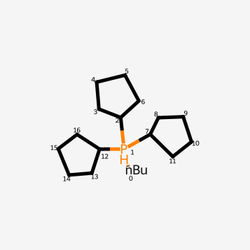 CCCC[PH](C1CCCC1)(C1CCCC1)C1CCCC1